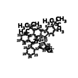 CC(C)(C)c1ccc2c(c1)-c1cc(C(C)(C)C)c[c]([Zr+2](=[C](c3ccccc3)c3ccccc3)[CH]3C=CC=C3)c1C2.[Cl-].[Cl-]